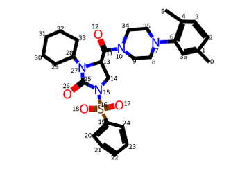 Cc1ccc(C)c(N2CCN(C(=O)C3CN(S(=O)(=O)c4ccccc4)C(=O)N3C3CCCCC3)CC2)c1